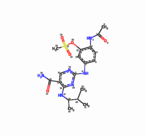 CC(=O)Nc1ccc(Nc2ncc(C(N)=O)c(NC(C)C(C)C)n2)cc1OS(C)(=O)=O